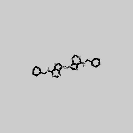 c1ccc(CNc2ncnc3c2nc[n]3[Zn][n]2cnc3c(NCc4ccccc4)ncnc32)cc1